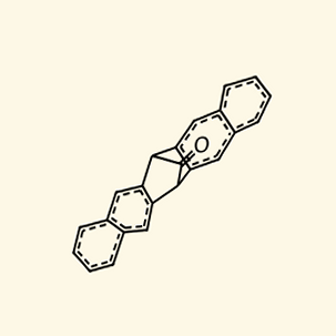 O=C1C2c3cc4ccccc4cc3C1c1cc3ccccc3cc12